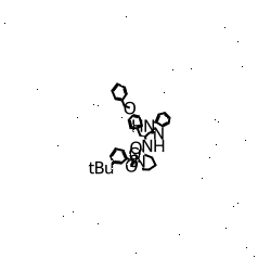 CC(C)(C)c1cccc(S(=O)(=O)N2CCCC[C@H]2C(=O)N[C@@H](Cc2ccc(OCc3ccccc3)cc2)c2nc3ccccc3[nH]2)c1